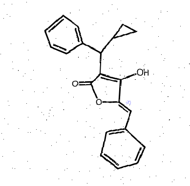 O=C1O/C(=C\c2ccccc2)C(O)=C1C(c1ccccc1)C1CC1